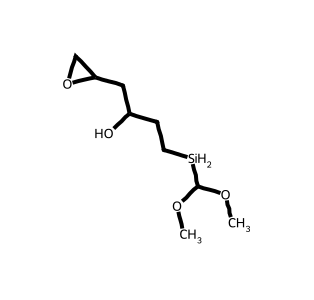 COC(OC)[SiH2]CCC(O)CC1CO1